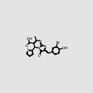 CC1=C(C(=O)O)C(c2cccs2)n2c(sc(=Cc3ccc(O)c(Br)c3)c2=O)=N1